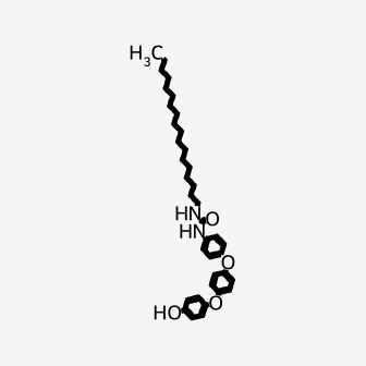 CCCCCCCCCCCCCCCCCCNC(=O)Nc1ccc(Oc2ccc(Oc3ccc(O)cc3)cc2)cc1